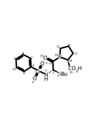 CC[C@H](C)[C@H](NS(=O)(=O)c1ccccc1)C(=O)N1CCC[C@H]1C(=O)O